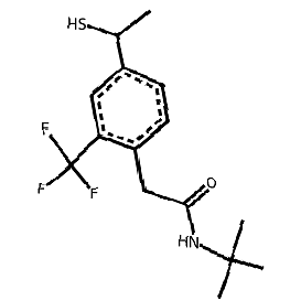 CC(S)c1ccc(CC(=O)NC(C)(C)C)c(C(F)(F)F)c1